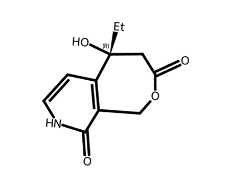 CC[C@@]1(O)CC(=O)OCc2c1cc[nH]c2=O